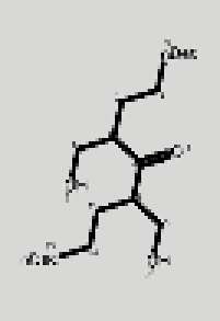 CCCCCCCCCCCCC(CO)C(=O)C(CO)CCCCCCCCCCCC